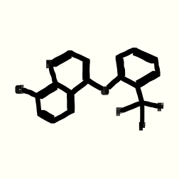 FC(F)(F)c1ccccc1Oc1ccnc2c(Cl)cccc12